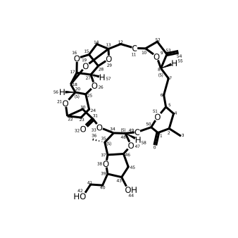 C=C1C(C)CC2CC[C@@H]3OC(CCC45CC6OC7C(O4)[C@H]4OC(CCC4O[C@H]7C6O5)CC(=O)OC4[C@@H](C)C5OC(CCO)C(O)CC5O[C@H]4CC1O2)CC3=C